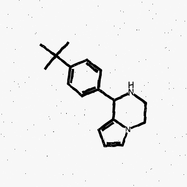 CC(C)(C)c1ccc(C2NCCn3cccc32)cc1